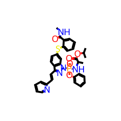 CNC(=O)c1ccccc1Sc1ccc2c(/C=C/c3ccccn3)nn(P(=O)(NC(C)C(=O)OC(C)C)Oc3ccccc3)c2c1